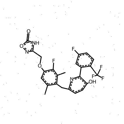 Cc1cc(OCc2noc(=O)[nH]2)c(F)c(C)c1Cc1ccc(O)c(-c2cc(F)ccc2C(F)(F)F)n1